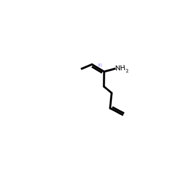 C=CCC/C(N)=C\C